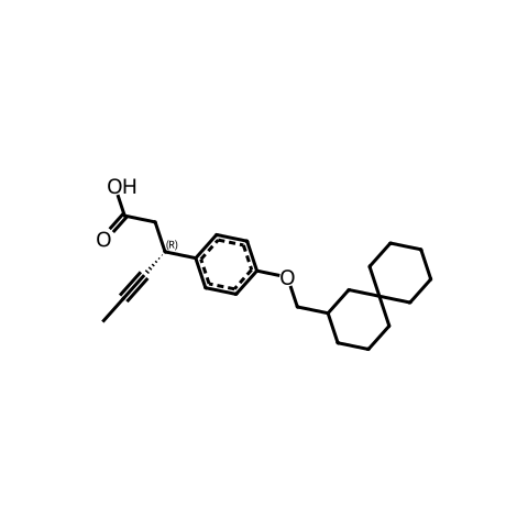 CC#C[C@H](CC(=O)O)c1ccc(OCC2CCCC3(CCCCC3)C2)cc1